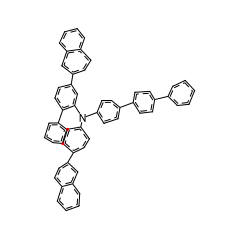 c1ccc(-c2ccc(-c3ccc(N(c4ccc(-c5ccc6ccccc6c5)cc4)c4cc(-c5ccc6ccccc6c5)ccc4-c4ccccc4)cc3)cc2)cc1